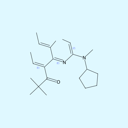 CC=C(C)C(=N\C(=C/C)N(C)C1CCCC1)/C(=C\C)C(=O)C(C)(C)C